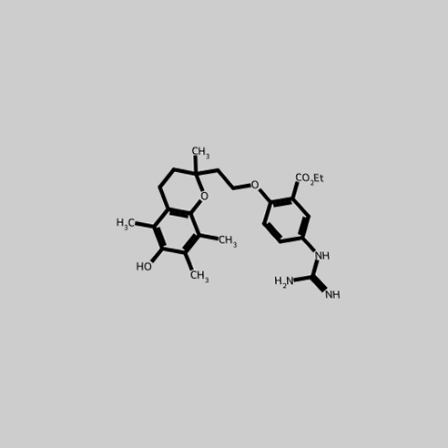 CCOC(=O)c1cc(NC(=N)N)ccc1OCCC1(C)CCc2c(C)c(O)c(C)c(C)c2O1